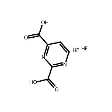 F.F.O=C(O)c1ccnc(C(=O)O)n1